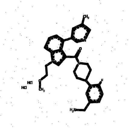 COCCn1cc(C(=O)N2CCC(c3cc(CN)ccc3F)CC2)c2c(-c3cncc(C)c3)cccc21.Cl.Cl